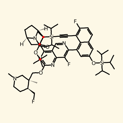 CC(C)[Si](C#Cc1c(F)ccc2cc(O[Si](C(C)C)(C(C)C)C(C)C)cc(-c3ncc4c(N5C[C@H]6CC[C@@H](C5)N6C(=O)OC(C)(C)C)nc(OC[C@]5(C)CN(C)CC[C@@H]5CF)nc4c3F)c12)(C(C)C)C(C)C